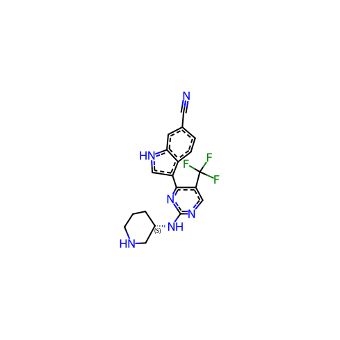 N#Cc1ccc2c(-c3nc(N[C@H]4CCCNC4)ncc3C(F)(F)F)c[nH]c2c1